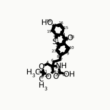 CC1(C)OCC(CCc2ccc3c(=O)c4ccc(O)cc4sc3c2)(NC(=O)O)CO1